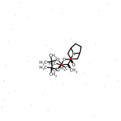 C=C(B1OC(C)(C)C(C)(C)O1)C1CC2CCC(C1)N2C(=O)OC(C)(C)C